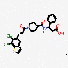 O=C(O)CC(NC(=O)C1CCN(C(=O)C=Cc2cc3ccsc3c(Cl)c2Cl)CC1)c1ccccc1